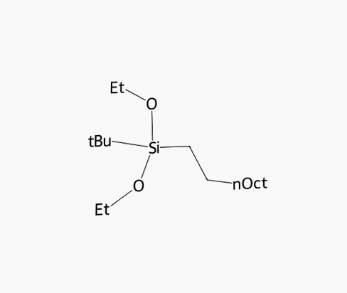 CCCCCCCCCC[Si](OCC)(OCC)C(C)(C)C